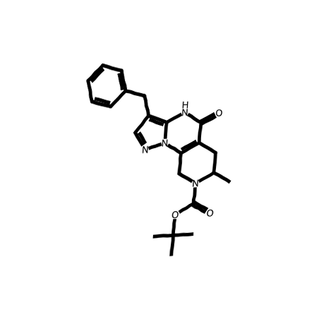 CC1Cc2c(n3ncc(Cc4ccccc4)c3[nH]c2=O)CN1C(=O)OC(C)(C)C